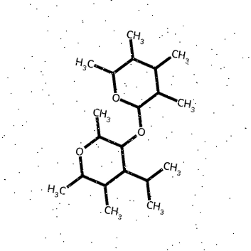 CC(C)C1C(C)C(C)OC(C)C1OC1OC(C)C(C)C(C)C1C